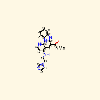 CNC(=O)c1cc2c(NCCn3ccnc3)ccnc2n2c1nc1ccccc12